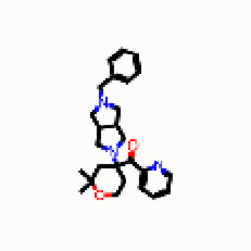 CC1(C)CC(C(=O)c2ccccn2)(N2CC3CN(Cc4ccccc4)CC3C2)CCO1